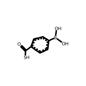 O=C(S)c1ccc(B(O)O)cc1